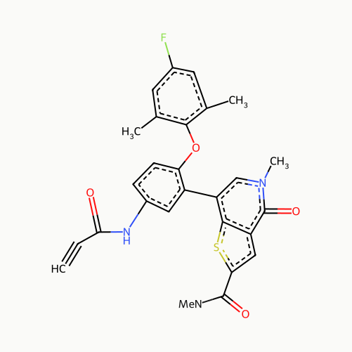 C#CC(=O)Nc1ccc(Oc2c(C)cc(F)cc2C)c(-c2cn(C)c(=O)c3cc(C(=O)NC)sc23)c1